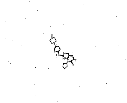 O=c1c(F)cc2cnc(Nc3ccc(N4CCNCC4)cn3)nc2n1C1CCCC1